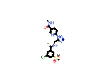 CNC(=O)c1ccc(-n2ncnc2CNC(=O)c2cc(Cl)cc(S(C)(=O)=O)c2)nc1